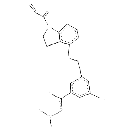 C=CC(=O)N1CCc2c(OCc3cc(/C(N)=C/N(N)CC)cc(C(F)(F)F)c3)cccc21